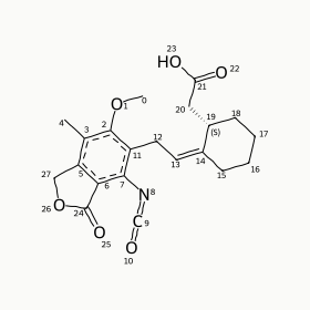 COc1c(C)c2c(c(N=C=O)c1CC=C1CCCC[C@H]1CC(=O)O)C(=O)OC2